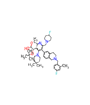 Cc1cc(F)ccc1CN1CCc2cc(-c3c(CN4CCC(F)CC4)nc(C)c(C(OC(C)(C)C)C(=O)O)c3N3CCC(C)(C)CC3)ccc2C1